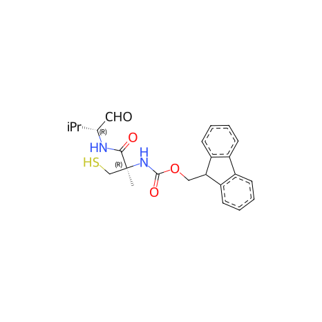 CC(C)[C@H](C=O)NC(=O)[C@](C)(CS)NC(=O)OCC1c2ccccc2-c2ccccc21